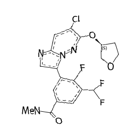 CNC(=O)c1cc(-c2cnc3cc(Cl)c(O[C@H]4CCOC4)nn23)c(F)c(C(F)F)c1